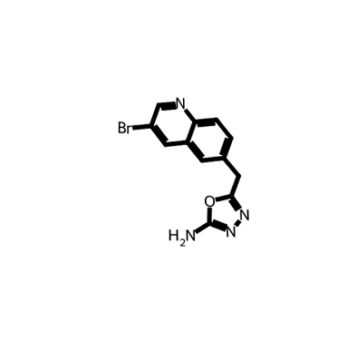 Nc1nnc(Cc2ccc3ncc(Br)cc3c2)o1